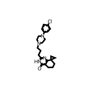 O=c1[nH]c(CCCN2CCN(c3ccc(Cl)cc3)CC2)nc2c1CCCC21CC1